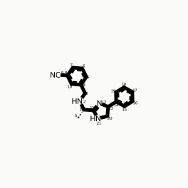 C[C@H](NCc1cccc(C#N)c1)C1=NC(c2ccccc2)CN1